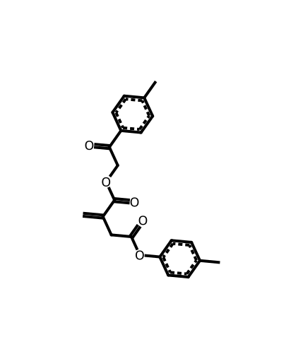 C=C(CC(=O)Oc1ccc(C)cc1)C(=O)OCC(=O)c1ccc(C)cc1